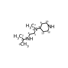 CC(C)NCCN(C)C1CCNCC1